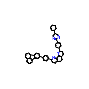 c1ccc(-c2cnc(-c3ccc(-c4ccc5ccc6ccc(-c7ccc(-c8ccc9c(c8)-c8cccc%10cccc-9c8%10)cc7)nc6c5n4)cc3)nc2)cc1